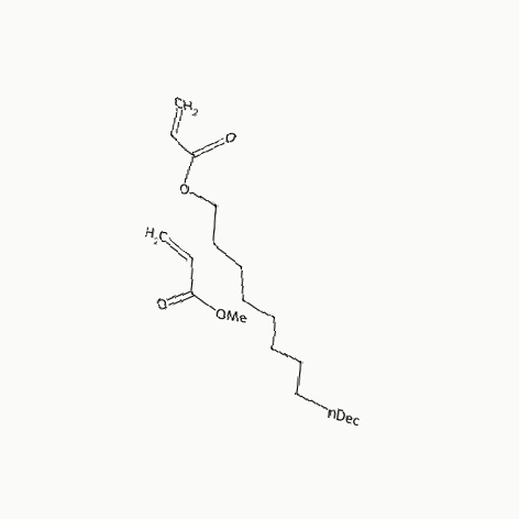 C=CC(=O)OC.C=CC(=O)OCCCCCCCCCCCCCCCCCC